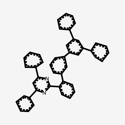 c1ccc(-c2cc(-c3ccccc3)cc(-c3cccc(-c4ccccc4-c4nc(-c5ccccc5)cc(-c5ccccc5)n4)c3)c2)cc1